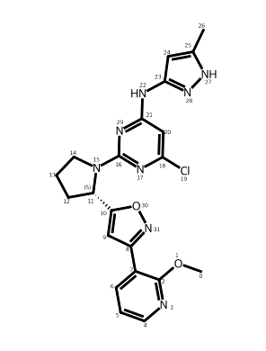 COc1ncccc1-c1cc([C@@H]2CCCN2c2nc(Cl)cc(Nc3cc(C)[nH]n3)n2)on1